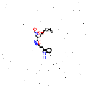 CCCCC[C@@H](CN(O)C=O)c1nnc(CCc2c[nH]c3ccccc23)o1